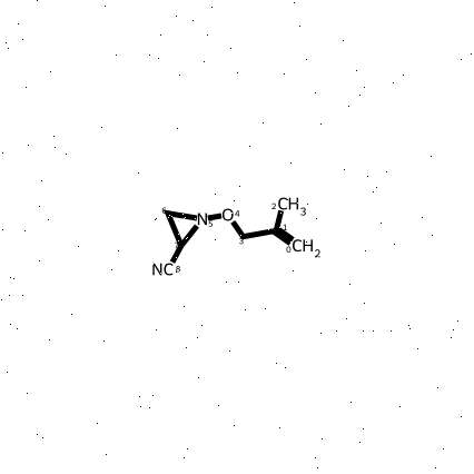 C=C(C)CON1CC1C#N